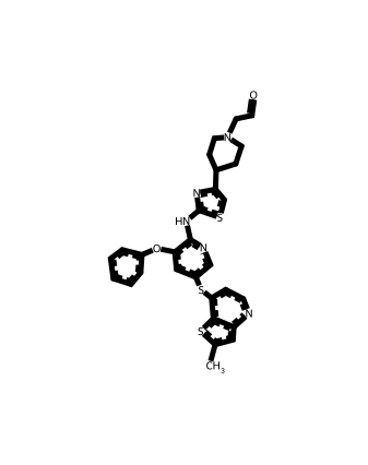 Cc1cc2nccc(Sc3cnc(Nc4nc(C5CCN(CC=O)CC5)cs4)c(Oc4ccccc4)c3)c2s1